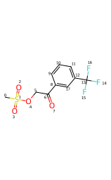 CS(=O)(=O)OCC(=O)c1cccc(C(F)(F)F)c1